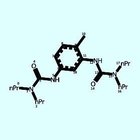 CCCN(CCC)C(=O)Nc1ccc(C)c(NC(=O)N(CCC)CCC)c1